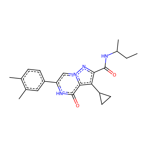 CCC(C)NC(=O)c1nn2cc(-c3ccc(C)c(C)c3)[nH]c(=O)c2c1C1CC1